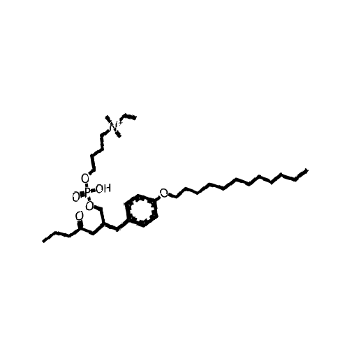 CCCCCCCCCCCCOc1ccc(CC(COP(=O)(O)OCCCC[N+](C)(C)CC)CC(=O)CCC)cc1